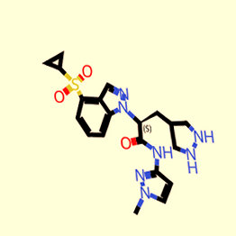 Cn1ccc(NC(=O)[C@H](CC2CNNC2)n2ncc3c(S(=O)(=O)C4CC4)cccc32)n1